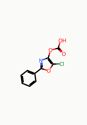 O=C(O)Oc1nc(-c2ccccc2)oc1Cl